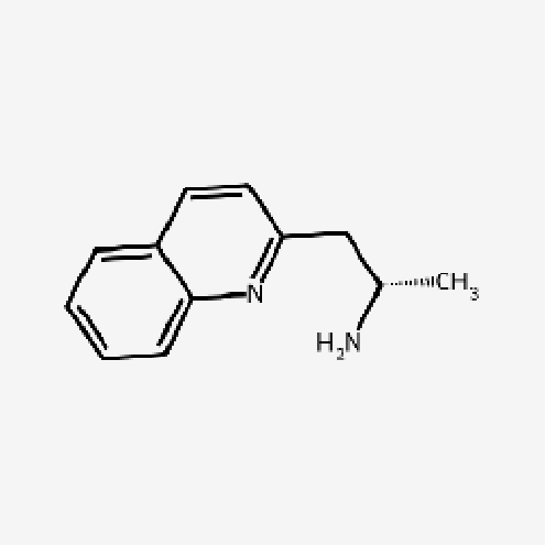 C[C@H](N)Cc1ccc2ccccc2n1